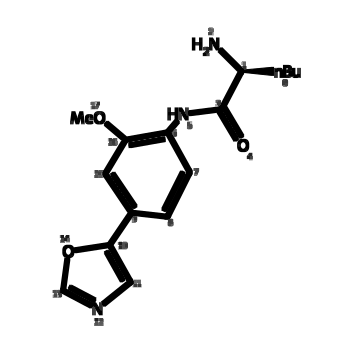 CCCC[C@H](N)C(=O)Nc1ccc(-c2cnco2)cc1OC